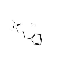 O=S(=O)([O-])CCCc1ccccc1.[Na+]